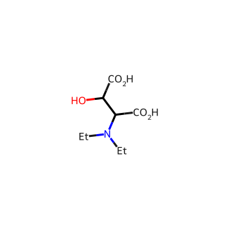 CCN(CC)C(C(=O)O)C(O)C(=O)O